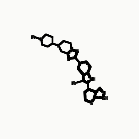 CC(C)c1c(-c2ccnc3[nH]ncc23)[nH]c2ccc(-c3nc4n(n3)CCN(C3CCN(C(C)C)CC3)C4)cc12